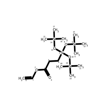 C=COC(=O)CC[Si](O[Si](C)(C)C)(O[Si](C)(C)C)O[Si](C)(C)C